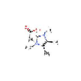 CC(=O)O.CC1=C(C)N(C)CN1C